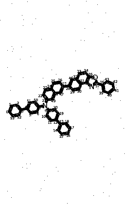 c1ccc(-c2ccc(N(c3ccc(-c4ccccc4)cc3)c3ccc4ccc(-c5ccc6c(ccc7oc(-c8ccccc8)nc76)c5)cc4c3)cc2)cc1